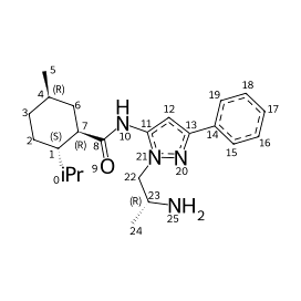 CC(C)[C@@H]1CC[C@@H](C)C[C@H]1C(=O)Nc1cc(-c2ccccc2)nn1C[C@@H](C)N